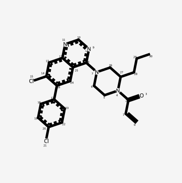 C=CC(=O)N1CCN(c2ncnc3cc(Cl)c(-c4ccc(Cl)cc4)cc23)CC1CCC